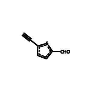 C#Cc1ccc(C=O)s1